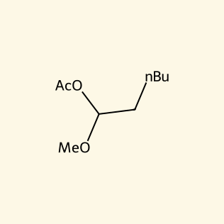 CCCCCC(OC)OC(C)=O